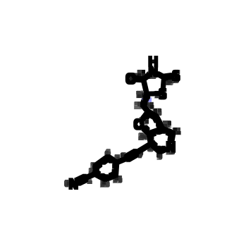 N#Cc1ccc(C#Cc2cncc3cc(/C=C4\SC(=S)NC4=O)oc23)cc1